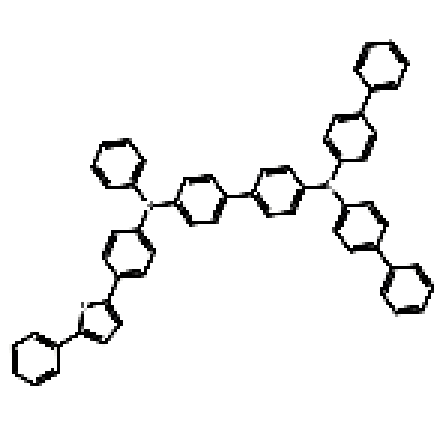 c1ccc(-c2ccc(N(c3ccc(-c4ccccc4)cc3)c3ccc(-c4ccc(N(c5ccccc5)c5ccc(-c6ccc(-c7ccccc7)s6)cc5)cc4)cc3)cc2)cc1